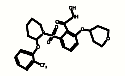 O=C(NO)c1c(OC2CCOCC2)cccc1S(=O)(=O)N1CCCCC1Oc1ccccc1C(F)(F)F